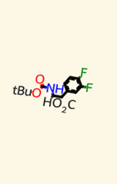 CC(C)(C)OC(=O)NC(Cc1ccc(F)c(F)c1)C(=O)O